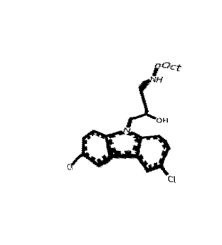 CCCCCCCCNCC(O)Cn1c2ccc(Cl)cc2c2cc(Cl)ccc21